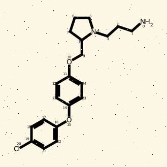 NCCCN1CCCC1COc1ccc(Oc2ccc(Cl)cc2)cc1